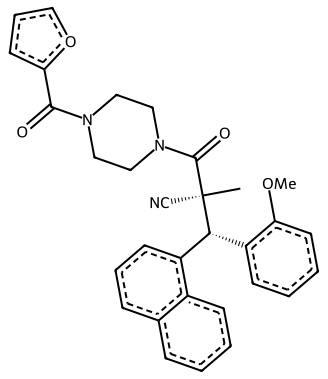 COc1ccccc1[C@H](c1cccc2ccccc12)[C@@](C)(C#N)C(=O)N1CCN(C(=O)c2ccco2)CC1